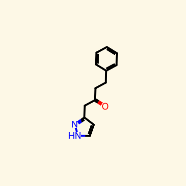 O=C(CCc1ccccc1)Cc1cc[nH]n1